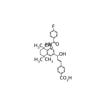 CC1(C)CCC(C)(C)c2c(NC(=O)c3ccc(F)cc3)cc(C(O)C=Cc3ccc(C(=O)O)cc3)cc21